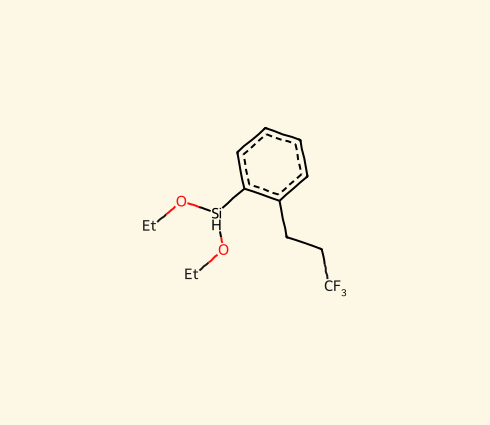 CCO[SiH](OCC)c1ccccc1CCC(F)(F)F